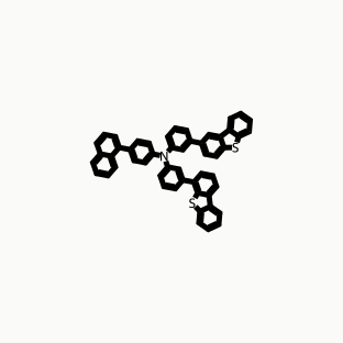 c1cc(-c2ccc3sc4ccccc4c3c2)cc(N(c2ccc(-c3cccc4ccccc34)cc2)c2cccc(-c3cccc4c3sc3ccccc34)c2)c1